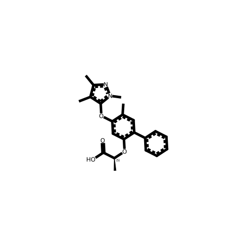 Cc1cc(-c2ccccc2)c(O[C@@H](C)C(=O)O)cc1Oc1c(C)c(C)nn1C